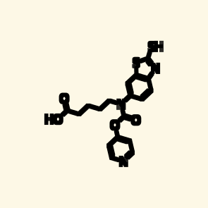 O=C(O)CCCCN(C(=O)Oc1ccncc1)c1ccc2nc(S)sc2c1